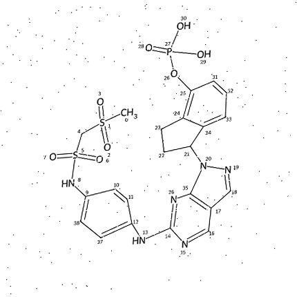 CS(=O)(=O)CS(=O)(=O)Nc1ccc(Nc2ncc3cnn(C4CCc5c(OP(=O)(O)O)cccc54)c3n2)cc1